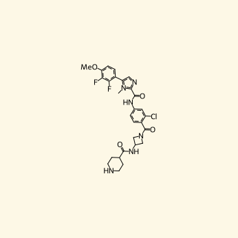 COc1ccc(-c2cnc(C(=O)Nc3ccc(C(=O)N4CC(NC(=O)C5CCNCC5)C4)c(Cl)c3)n2C)c(F)c1F